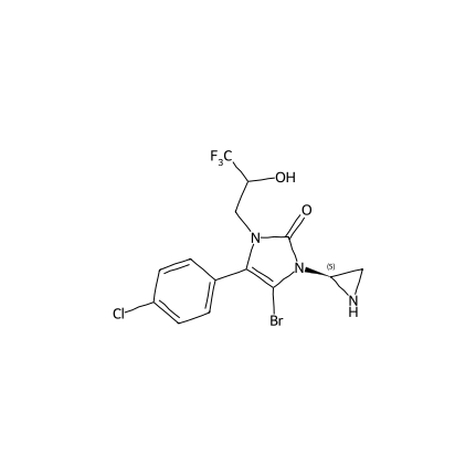 O=c1n(CC(O)C(F)(F)F)c(-c2ccc(Cl)cc2)c(Br)n1[C@H]1CN1